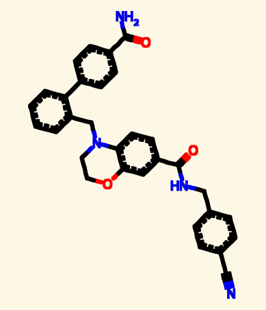 N#Cc1ccc(CNC(=O)c2ccc3c(c2)OCCN3Cc2ccccc2-c2ccc(C(N)=O)cc2)cc1